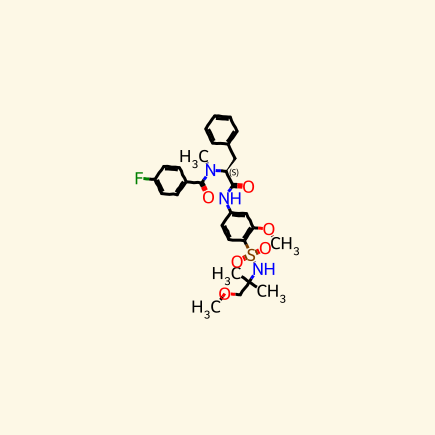 COCC(C)(C)NS(=O)(=O)c1ccc(NC(=O)[C@H](Cc2ccccc2)N(C)C(=O)c2ccc(F)cc2)cc1OC